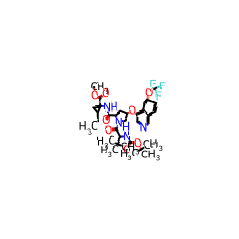 CCC1CC1(NC(=O)C1CC(Oc2cncc3ccc(OC(F)(F)F)cc23)CN1C(=O)C(NC(=O)OC(C)(C)C)C(C)(C)C)C(=O)OC